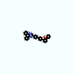 c1ccc2c(c1)oc1c(-c3ccc(-c4ccc(-c5cnc6c7ccccc7c7ccccc7c6n5)cc4)cc3)cccc12